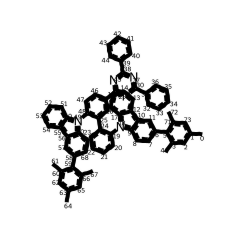 Cc1cc(C)c(-c2ccc3c(c2)c2ccccc2n3-c2ccccc2-c2cc(-c3nc(-c4ccccc4)nc(-c4ccccc4)n3)ccc2-n2c3ccccc3c3cc(-c4c(C)cc(C)cc4C)ccc32)c(C)c1